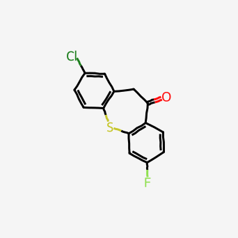 O=C1Cc2cc(Cl)ccc2Sc2cc(F)ccc21